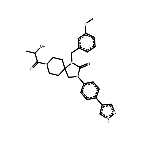 COc1cccc(CN2C(=O)N(c3ccc(-c4cn[nH]c4)cc3)CC23CCN(C(=O)C(C)O)CC3)c1